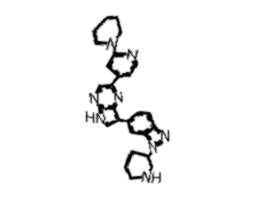 c1cc(-c2cnc3[nH]cc(-c4ccc5ncn(C6CCCNC6)c5c4)c3n2)cc(N2CCCCC2)n1